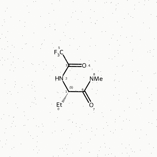 CC[C@H](NC(=O)C(F)(F)F)C(=O)NC